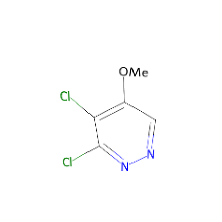 COc1cnnc(Cl)c1Cl